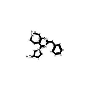 OC1CCN(c2nc(Cc3ccccc3)nc3c2CCNCC3)C1